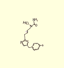 NC(=O)N(O)C/C=C/Cc1ncc(Cc2ccc(F)cc2)s1